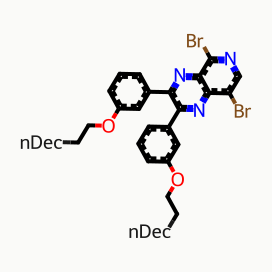 CCCCCCCCCCCCOc1cccc(-c2nc3c(Br)cnc(Br)c3nc2-c2cccc(OCCCCCCCCCCCC)c2)c1